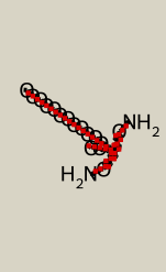 COCCOCCCC1(CCCOCCOCCOCCOCCOCCOCCOCCOCCOCCOCCOCCOC)c2cc(-c3ccc(OCCCCN)cc3)ccc2-c2ccc(-c3ccc(OCCCCN)cc3)cc21